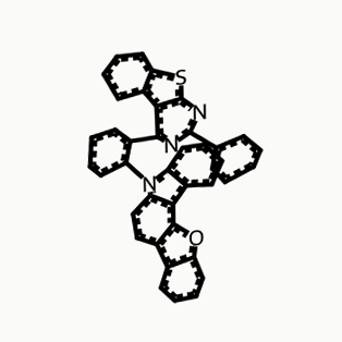 c1ccc(-c2nc(-c3ccccc3-n3c4ccccc4c4c5oc6ccccc6c5ccc43)c3c(n2)sc2ccccc23)cc1